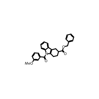 COc1cccc(C(=O)n2c3c(c4ccccc42)CC(C(=O)OCc2ccccc2)CC3)c1